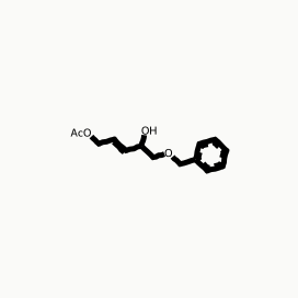 CC(=O)OC/C=C/C(O)COCc1ccccc1